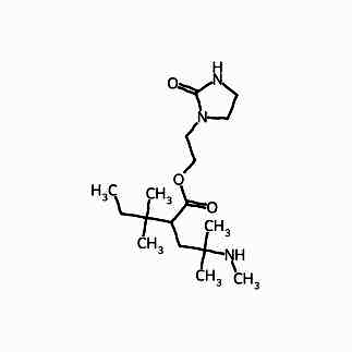 CCC(C)(C)C(CC(C)(C)NC)C(=O)OCCN1CCNC1=O